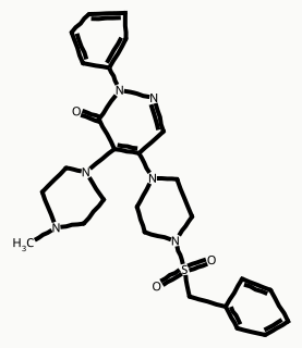 CN1CCN(c2c(N3CCN(S(=O)(=O)Cc4ccccc4)CC3)cnn(-c3ccccc3)c2=O)CC1